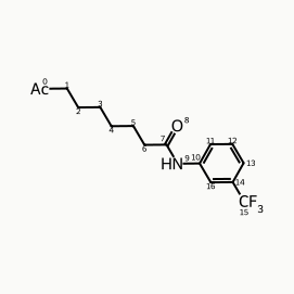 CC(=O)CCCCCCC(=O)Nc1cccc(C(F)(F)F)c1